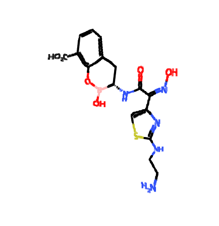 NCCNc1nc(/C(=N/O)C(=O)N[C@H]2Cc3cccc(C(=O)O)c3OB2O)cs1